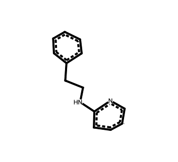 [c]1ccc(NCCc2ccccc2)nc1